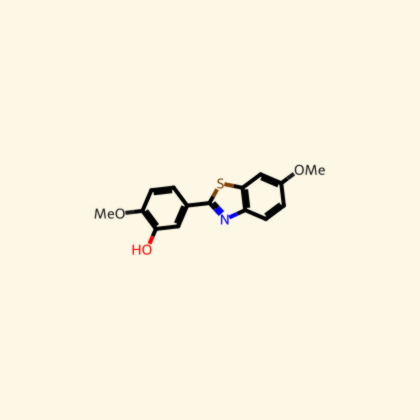 COc1ccc2nc(-c3ccc(OC)c(O)c3)sc2c1